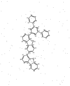 c1ccc(-c2nc(-c3ccccc3)nc(-c3cccc4c3oc3ccc(-c5cccc6c5sc5ccccc56)cc34)n2)cc1